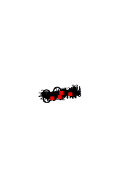 Cc1cn2nc(-c3ccc4c(c3)CCN(C3CCN(C(=O)OC(C)(C)C)CC3)C4=O)cc2c(C)n1